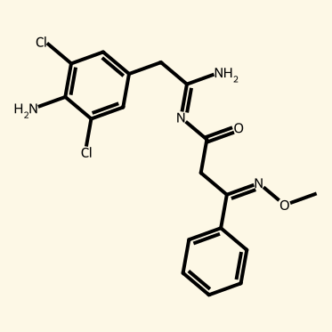 CON=C(CC(=O)N=C(N)Cc1cc(Cl)c(N)c(Cl)c1)c1ccccc1